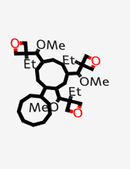 CCC1(C(OC)C2CCC(C(OC)C3(CC)COC3)CC(C(OC)C3(CC)COC3)C(C3CCCCCCCC3)CC2)COC1